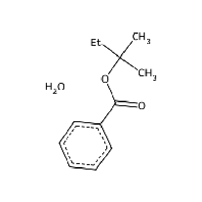 CCC(C)(C)OC(=O)c1ccccc1.O